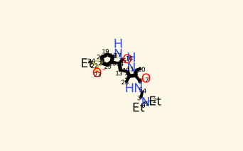 CCN(CC)CCNC(=O)c1c(C)[nH]c(/C=C2\C(=O)Nc3ccc([S+]([O-])CC)cc32)c1C